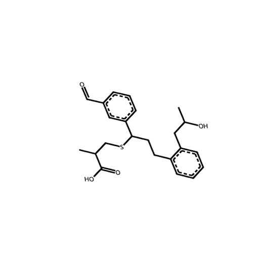 CC(O)Cc1ccccc1CCC(SCC(C)C(=O)O)c1cccc(C=O)c1